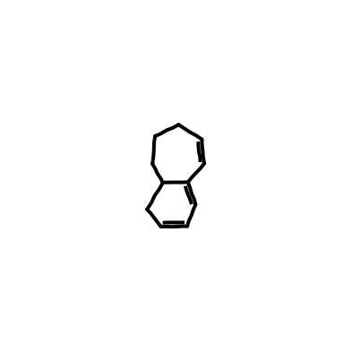 C1=CCC2CCCC=CC2=C1